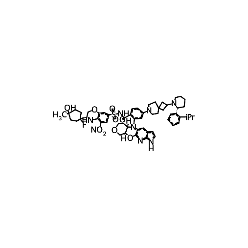 CC(C)c1ccccc1[C@H]1CCCCN1C1CC2(CCN(c3ccc(C(=O)NS(=O)(=O)c4cc5c(c([N+](=O)[O-])c4)N[C@@H](C4(F)CCC(C)(O)CC4)CO5)c(N4c5cc6cc[nH]c6nc5O[C@H]5COCC[C@@H]54)c3)CC2)C1